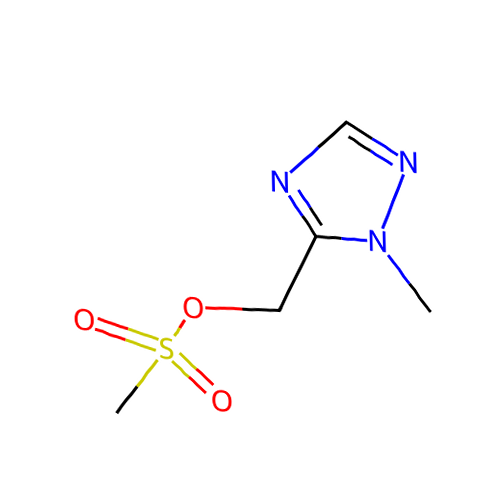 Cn1ncnc1COS(C)(=O)=O